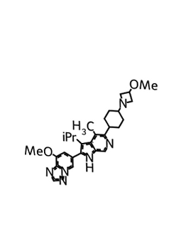 COc1cc(-c2[nH]c3cnc(C4CCC(N5CC(OC)C5)CC4)c(C)c3c2C(C)C)cn2ncnc12